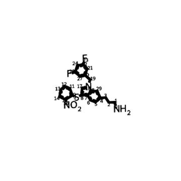 NCCCc1ccc2c(Sc3ccccc3[N+](=O)[O-])cn(Cc3cc(F)cc(F)c3)c2c1